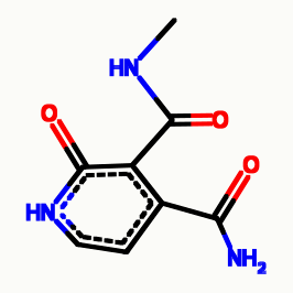 CNC(=O)c1c(C(N)=O)cc[nH]c1=O